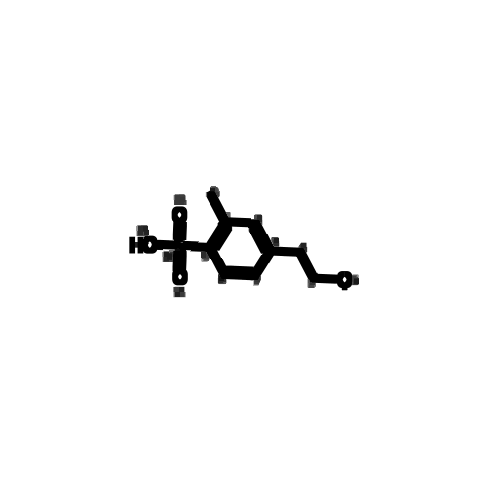 Cc1cc(CC[O])ccc1S(=O)(=O)O